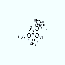 COc1cc2c(cc1OC(C)C)[C@H](c1ccc(Cl)cc1)N(c1ccc(C(C)(O)C3[C@@H]4CC[C@H]3CNC4)cc1)C(=O)C2